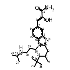 CC(Cc1nc2cc(C=C(O)C(N)=O)ccc2n1CCCNC(C)C)CC(C)(C)C